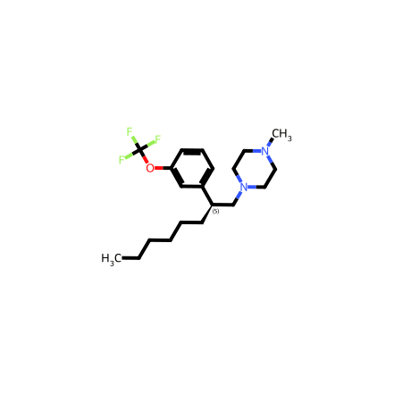 CCCCCC[C@H](CN1CCN(C)CC1)c1cccc(OC(F)(F)F)c1